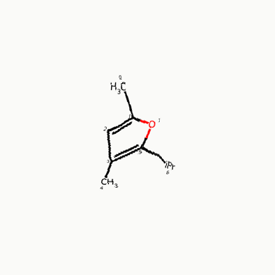 Cc1cc(C)c(C(C)C)o1